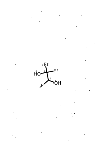 CCC(O)(F)C(O)F